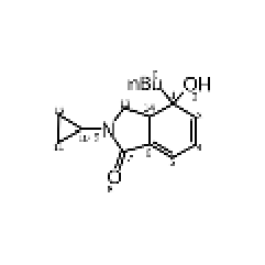 CCCCC1(O)C=CC=C2C(=O)N(C3CC3)CC21